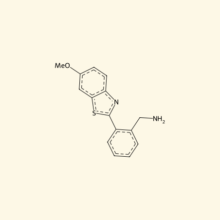 COc1ccc2nc(-c3ccccc3CN)sc2c1